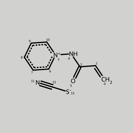 C=CC(=O)N[n+]1ccccc1.N#C[S-]